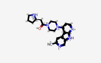 N#Cc1cc2c(cn1)[nH]c1nccc(N3CCN(C(=O)C[C@H]4CCCN4)CC3)c12